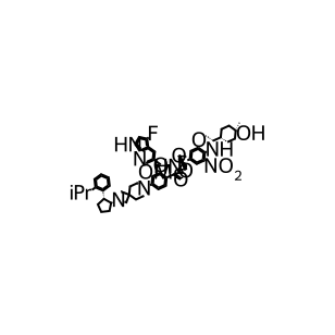 COc1nc2[nH]cc(F)c2cc1Oc1cc(N2CCC3(CC2)CN([C@@H]2CCC[C@@H]2c2ccccc2C(C)C)C3)ccc1C(=O)NS(=O)(=O)c1cc2c(c([N+](=O)[O-])c1)N[C@@H]([C@H]1CC[C@](C)(O)CC1)CO2